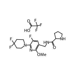 COc1nc(N2CCC(F)(F)CC2)c(F)cc1CNC(=O)C1CCCN1.O=C(O)C(F)(F)F